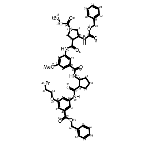 COc1cc(NC(=O)C2CN(C(=O)OC(C)(C)C)CC2NC(=O)OCc2ccccc2)cc(C(=O)NC2CCCC2C(=O)Nc2cc(OCCC(C)C)cc(C(=O)OCc3ccccc3)c2)c1